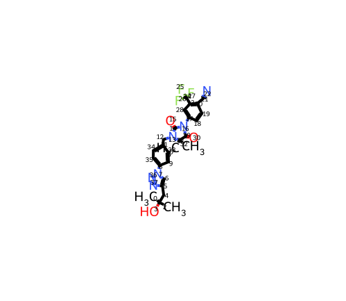 CC(C)(O)Cc1cn(-c2ccc(CN3C(=O)N(c4ccc(C#N)c(C(F)(F)F)c4)C(=O)C3(C)C)cc2)nn1